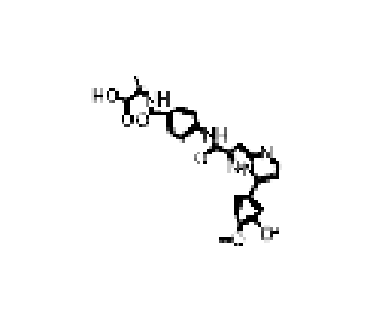 COc1ccc(-c2ccnc3cc(C(=O)Nc4ccc(C(=O)N[C@H](C)C(=O)O)cc4)nn23)cc1OC